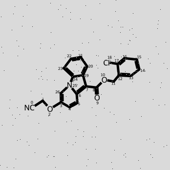 N#CCOc1ccc2c(C(=O)OCc3ccccc3Cl)c3ccccc3n2c1